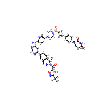 Cc1cc(-c2cc(Nc3ccc(N4CCN(C(=O)C5CN(c6ccc(N7CCC(=O)NC7=O)cc6)C5)CC4)cn3)ncn2)ccc1[C@@H](C)NC(=O)C1NC(C(C)(C)C)=NO1